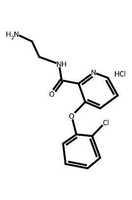 Cl.NCCNC(=O)c1ncccc1Oc1ccccc1Cl